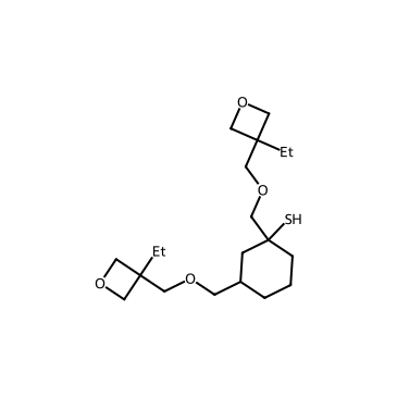 CCC1(COCC2CCCC(S)(COCC3(CC)COC3)C2)COC1